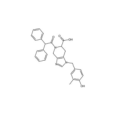 Cc1cc(Cn2cnc3c2CC(C(=O)O)N(C(=O)C(c2ccccc2)c2ccccc2)C3)ccc1O